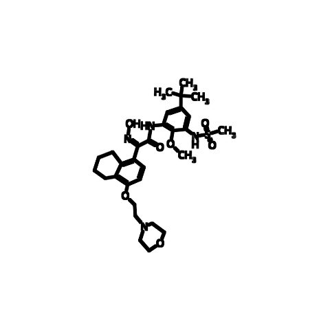 COc1c(NC(=O)C(=NO)c2ccc(OCCN3CCOCC3)c3c2CCCC3)cc(C(C)(C)C)cc1NS(C)(=O)=O